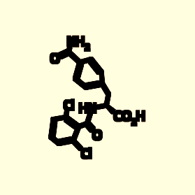 NC(=O)c1ccc(C[C@H](NC(=O)c2c(Cl)cccc2Cl)C(=O)O)cc1